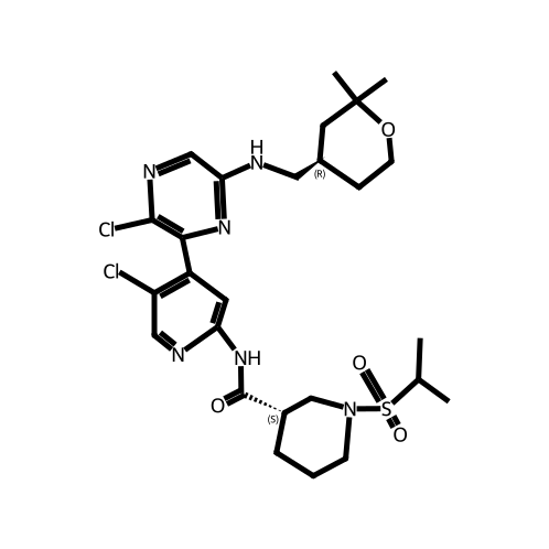 CC(C)S(=O)(=O)N1CCC[C@H](C(=O)Nc2cc(-c3nc(NC[C@@H]4CCOC(C)(C)C4)cnc3Cl)c(Cl)cn2)C1